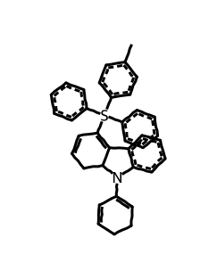 Cc1ccc(S(C2=C3c4ccccc4N(C4=CCCC=C4)C3CC=C2)(c2ccccc2)c2ccccc2)cc1